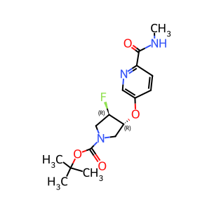 CNC(=O)c1ccc(O[C@@H]2CN(C(=O)OC(C)(C)C)C[C@H]2F)cn1